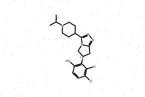 CC(C)N1CCC(c2nnc3n2C[C@H](c2c(O)ccc(Cl)c2Cl)C3)CC1